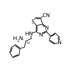 N#Cc1csc2c(NC[C@@H](N)Cc3ccccc3)nc(-c3ccncc3)nc12